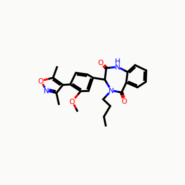 CCCCN1C(=O)c2ccccc2NC(=O)C1c1ccc(-c2c(C)noc2C)c(OC)c1